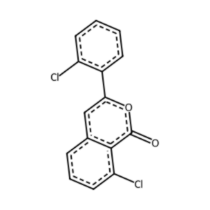 O=c1oc(-c2ccccc2Cl)cc2cccc(Cl)c12